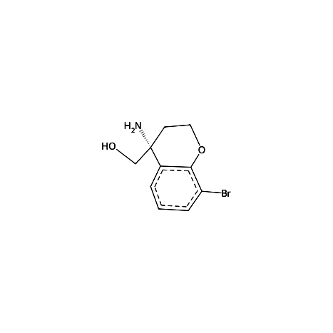 N[C@]1(CO)CCOc2c(Br)cccc21